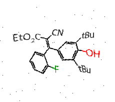 CCOC(=O)C(C#N)=C(c1cc(C(C)(C)C)c(O)c(C(C)(C)C)c1)c1ccccc1F